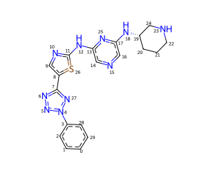 c1ccc(-n2nnc(-c3cnc(Nc4cncc(N[C@H]5CCCNC5)n4)s3)n2)cc1